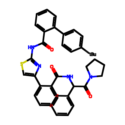 CC(C)(C)c1ccc(-c2ccccc2C(=O)Nc2nc(-c3ccccc3C(=O)NC(C(=O)N3CCCC3)c3ccccc3)cs2)cc1